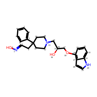 ON=CCC1(c2ccccc2)CCN(C[C@H](O)COc2cccc3[nH]ccc23)CC1